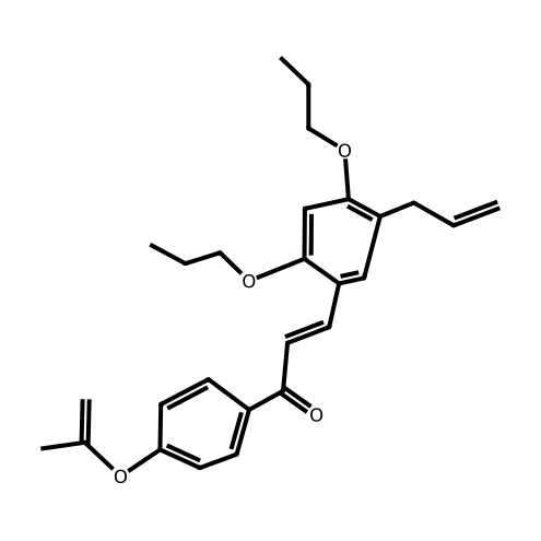 C=CCc1cc(C=CC(=O)c2ccc(OC(=C)C)cc2)c(OCCC)cc1OCCC